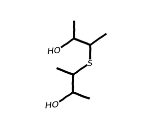 CC(O)C(C)SC(C)C(C)O